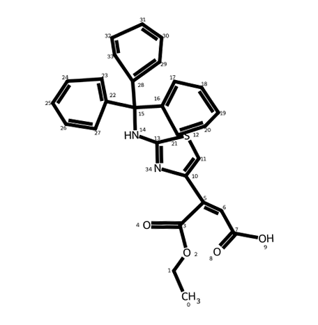 CCOC(=O)C(=CC(=O)O)c1csc(NC(c2ccccc2)(c2ccccc2)c2ccccc2)n1